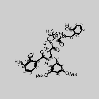 COc1cc(C[C@H](NC(=O)c2cccc(N)c2Cl)[C@H](O)C(=O)N2CSC(C)(C)[C@H]2C(=O)NCc2ccccc2C)cc(OC)c1